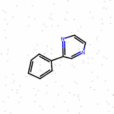 [c]1ccccc1-c1cnccn1